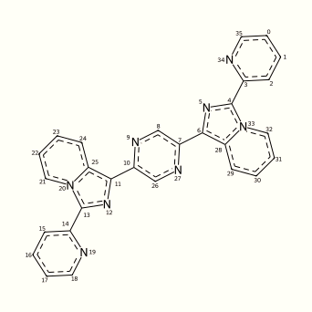 c1ccc(-c2nc(-c3cnc(-c4nc(-c5ccccn5)n5ccccc45)cn3)c3ccccn23)nc1